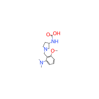 COc1cccc(N(C)C)c1CN1CCC(NC(=O)O)C1